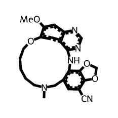 COc1cc2ncnc3c2cc1OCCCCCN(C)Cc1cc(C#N)c2c(c1N3)OCO2